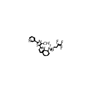 Cc1nc(-c2cccnc2)sc1-c1ccc2c(n1)/C(=N/OCCC(F)=C(F)F)CCC2